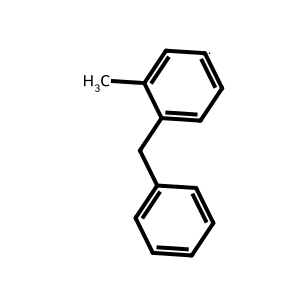 Cc1c[c]ccc1Cc1ccccc1